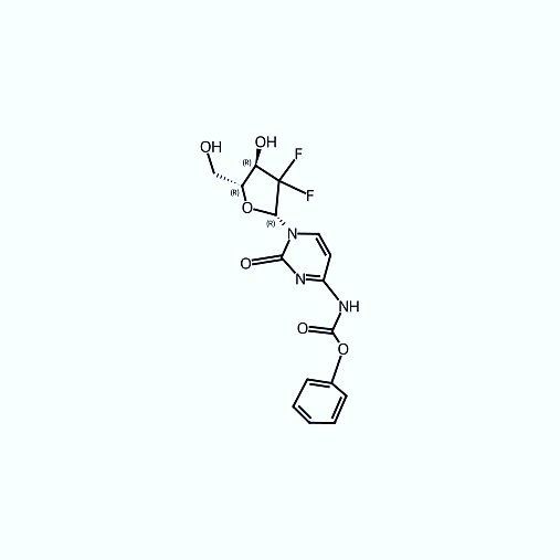 O=C(Nc1ccn([C@@H]2O[C@H](CO)[C@@H](O)C2(F)F)c(=O)n1)Oc1ccccc1